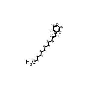 CCCCCCCCCC/C=C/c1ccccc1